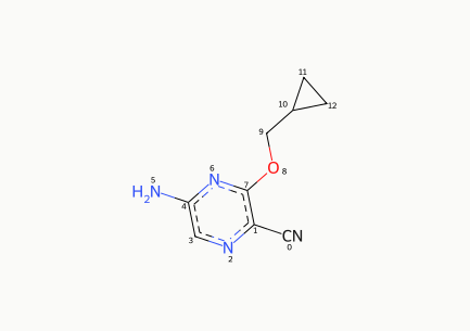 N#Cc1ncc(N)nc1OCC1CC1